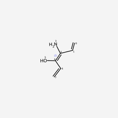 C=C/C(N)=C(/O)C=C